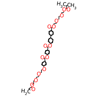 C=CC(=O)OCCOCCOCCOc1ccc(C(=O)Oc2ccc(C(=O)Oc3ccc(-c4ccc(C(=O)OCCOCCOCCOC(=O)C(C)C)cc4)cc3)cc2)cc1